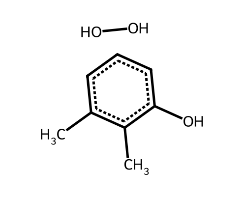 Cc1cccc(O)c1C.OO